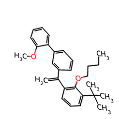 C=C(c1cccc(-c2ccccc2OC)c1)c1cccc(C(C)(C)C)c1OCCCC